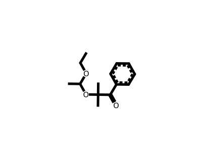 CCOC(C)OC(C)(C)C(=O)c1ccccc1